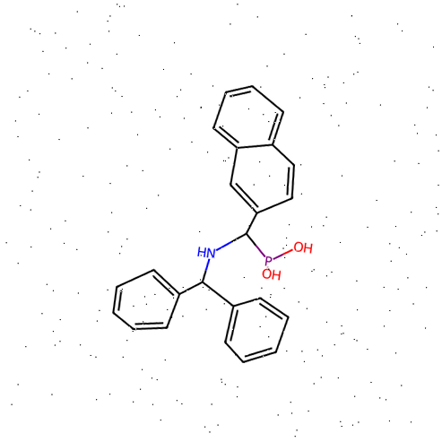 OP(O)C(NC(c1ccccc1)c1ccccc1)c1ccc2ccccc2c1